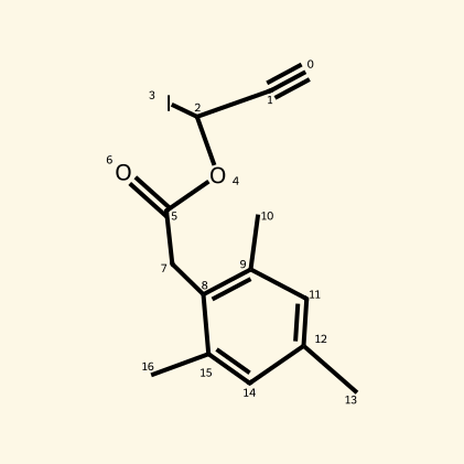 C#CC(I)OC(=O)Cc1c(C)cc(C)cc1C